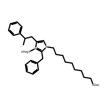 CCCCCCCCCCCCCCCCCCCn1cc(CC(C)c2ccccc2)[n+](CCCCCCC)c1Cc1ccccc1